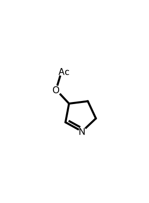 CC(=O)OC1C=NCC1